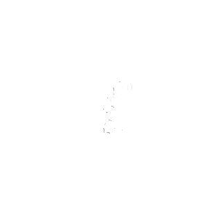 COc1cc(NC(=O)N/N=C/C(C)(C)C)cc(OC)c1